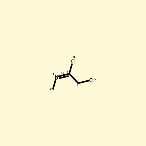 C/N=C(/Cl)CCl